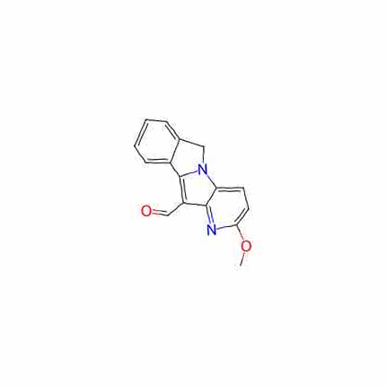 COc1ccc2c(n1)c(C=O)c1n2Cc2ccccc2-1